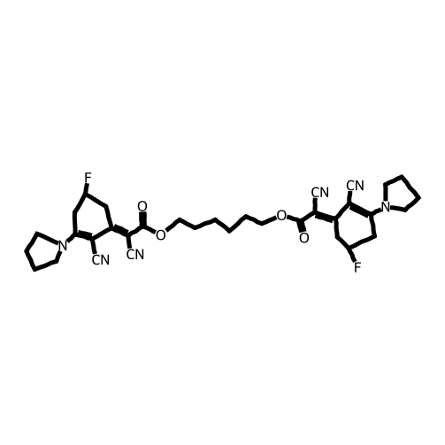 N#CC1=C(N2CCCC2)CC(F)C/C1=C(/C#N)C(=O)OCCCCCCOC(=O)/C(C#N)=C1\CC(F)CC(N2CCCC2)=C1C#N